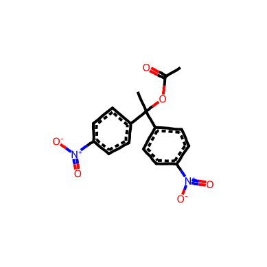 CC(=O)OC(C)(c1ccc([N+](=O)[O-])cc1)c1ccc([N+](=O)[O-])cc1